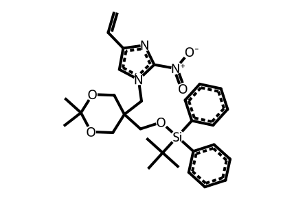 C=Cc1cn(CC2(CO[Si](c3ccccc3)(c3ccccc3)C(C)(C)C)COC(C)(C)OC2)c([N+](=O)[O-])n1